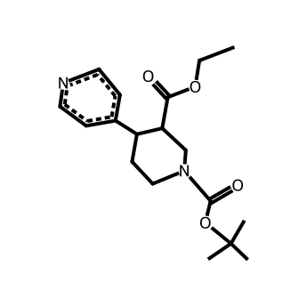 CCOC(=O)C1CN(C(=O)OC(C)(C)C)CCC1c1ccncc1